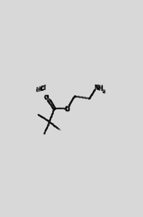 CC(C)(C)C(=O)OCCN.Cl